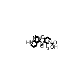 CC1CCN(C(=O)O)CC1N(C)c1ncnc2c1C=CCN2